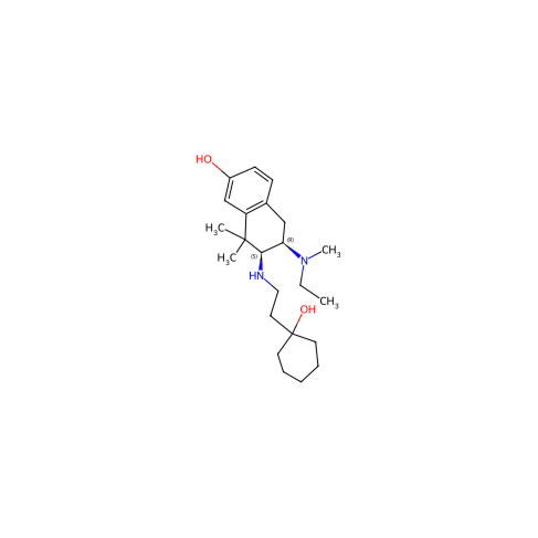 CCN(C)[C@@H]1Cc2ccc(O)cc2C(C)(C)[C@@H]1NCCC1(O)CCCCC1